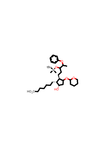 CC(Oc1ccccc1)C(CC[C@H]1C(OC2CCCCO2)C[C@H](O)[C@@H]1CCCCCCC(=O)O)O[Si](C)(C)C(C)(C)C